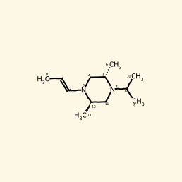 C/C=C/N1C[C@H](C)N(C(C)C)C[C@H]1C